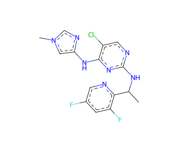 CC(Nc1ncc(Cl)c(Nc2cn(C)cn2)n1)c1ncc(F)cc1F